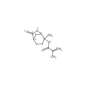 C=C(C)C(=O)OC1(C)CCC2CC1OC2=O